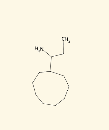 CCC(N)C1CCCCCCCC1